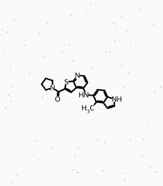 Cc1c(Nc2ccnc3sc(C(=O)N4CCCC4)cc23)ccc2[nH]ccc12